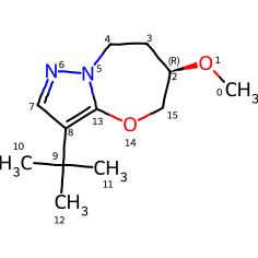 CO[C@@H]1CCn2ncc(C(C)(C)C)c2OC1